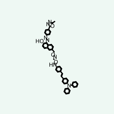 Cc1nnc(-c2ccc(N=Nc3c(O)ccc4cc(CO/N=C/ONc5ccc(C=Cc6ccc(N(c7ccccc7)c7ccccc7)cc6)cc5)ccc34)cc2)o1